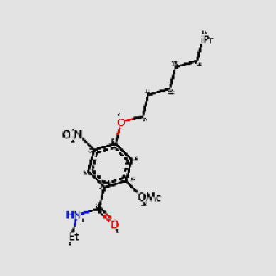 CCNC(=O)c1cc([N+](=O)[O-])c(OCCCCCC(C)C)cc1OC